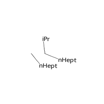 CCCCCCCC.CCCCCCCCC(C)C